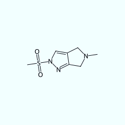 CN1Cc2cn(S(C)(=O)=O)nc2C1